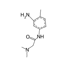 Cc1ccc(NC(=O)CN(C)C)cc1N